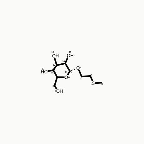 CSCCO[C@@H]1OC(CO)C(O)C(O)C1O